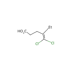 CCC(CCC(=O)O)=C(Cl)Cl